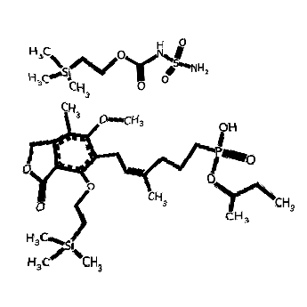 CCC(C)OP(=O)(O)CCCC(C)=CCc1c(OC)c(C)c2c(c1OCC[Si](C)(C)C)C(=O)OC2.C[Si](C)(C)CCOC(=O)NS(N)(=O)=O